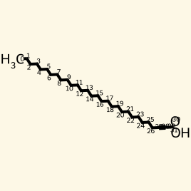 CCCCCCCCCCCCCCCCCCCCCCCCCCCC#CC(=O)O